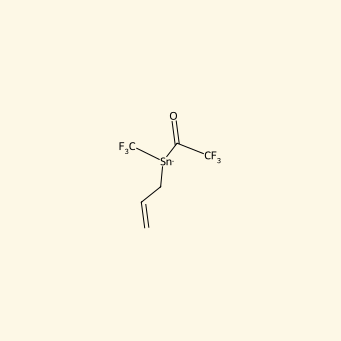 C=C[CH2][Sn]([C](=O)C(F)(F)F)[C](F)(F)F